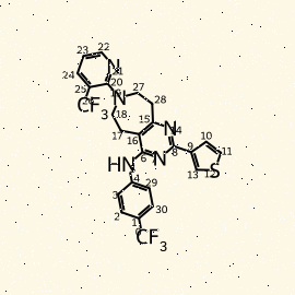 FC(F)(F)c1ccc(Nc2nc(-c3ccsc3)nc3c2CCN(c2ncccc2C(F)(F)F)CC3)cc1